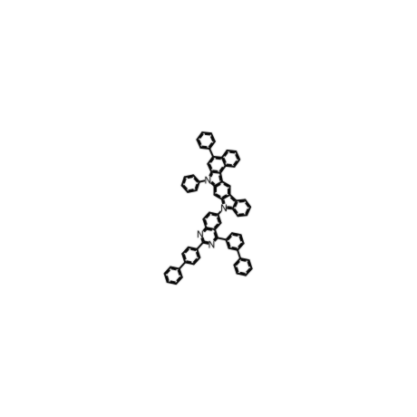 c1ccc(-c2ccc(-c3nc(-c4cccc(-c5ccccc5)c4)c4cc(-n5c6ccccc6c6cc7c8c9ccccc9c(-c9ccccc9)cc8n(-c8ccccc8)c7cc65)ccc4n3)cc2)cc1